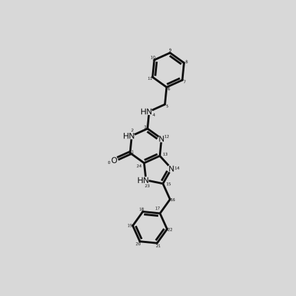 O=c1[nH]c(NCc2ccccc2)nc2nc(Cc3ccccc3)[nH]c12